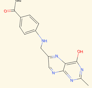 Cc1nc(O)c2nc(CNc3ccc(C(=O)C(C)(C)C)cc3)cnc2n1